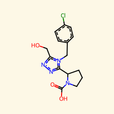 O=C(O)N1CCCC1c1nnc(CO)n1Cc1ccc(Cl)cc1